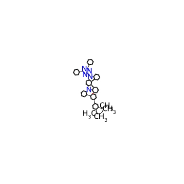 CC1(C)CCC(C)(C)c2cc(-c3cccc(-c4ccccc4-n4c5ccccc5c5c6c7ccccc7n(-c7nc(-c8ccccc8)nc(-c8ccccc8)n7)c6ccc54)c3)ccc21